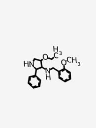 CCOC1CNC(c2ccccc2)C1NCc1ccccc1OC